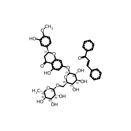 COc1ccc([C@@H]2CC(=O)c3c(O)cc(O[C@@H]4O[C@H](CO[C@@H]5O[C@@H](C)[C@H](O)[C@@H](O)[C@H]5O)[C@@H](O)[C@H](O)[C@H]4O)cc3O2)cc1O.O=C(C=Cc1ccccc1)c1ccccc1